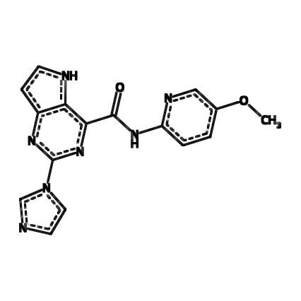 COc1ccc(NC(=O)c2nc(-n3ccnc3)nc3cc[nH]c23)nc1